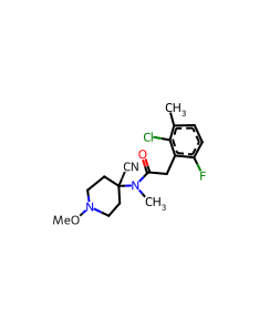 CON1CCC(C#N)(N(C)C(=O)Cc2c(F)ccc(C)c2Cl)CC1